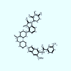 COc1cc2nn([C@H]3CC[C@H](CN(C)C4CCN(c5cccc6c5n(C)c(=O)n6C5CCC(=O)N(C)C5=O)CC4)CC3)cc2cc1NC(=O)c1cccc(C(F)(F)F)n1